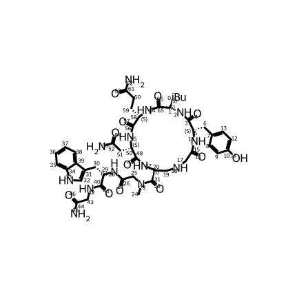 CC[C@H](C)[C@@H]1NC(=O)[C@H](Cc2ccc(O)cc2)NC(=O)CNC[C@@H](C(=O)N(C)CC(=O)N[C@@H](Cc2c[nH]c3ccccc23)C(=O)NCC(N)=O)NC(=O)[C@H](CC(N)=O)NC(=O)[C@H](CCC(N)=O)NC1=O